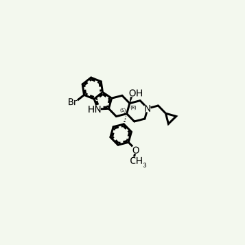 COc1cccc([C@@]23CCN(CC4CC4)C[C@@]2(O)Cc2c([nH]c4c(Br)cccc24)C3)c1